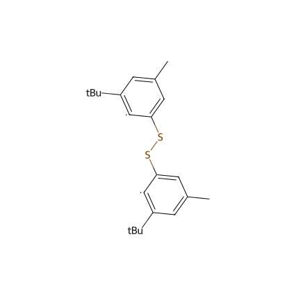 Cc1cc(SSc2[c]c(C(C)(C)C)cc(C)c2)[c]c(C(C)(C)C)c1